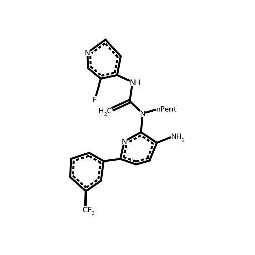 C=C(Nc1ccncc1F)N(CCCCC)c1nc(-c2cccc(C(F)(F)F)c2)ccc1N